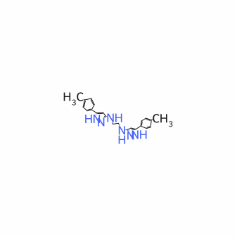 Cc1ccc(-c2cc(NCCNc3cc(-c4ccc(C)cc4)[nH]n3)n[nH]2)cc1